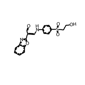 O=CC(=CNc1ccc(S(=O)(=O)CCO)cc1)c1nc2ccccc2o1